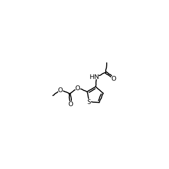 COC(=O)Oc1sccc1NC(C)=O